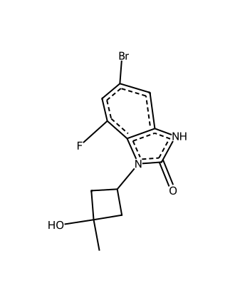 CC1(O)CC(n2c(=O)[nH]c3cc(Br)cc(F)c32)C1